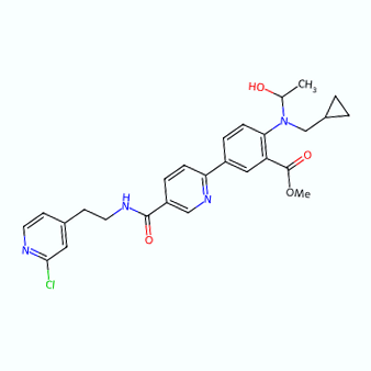 COC(=O)c1cc(-c2ccc(C(=O)NCCc3ccnc(Cl)c3)cn2)ccc1N(CC1CC1)C(C)O